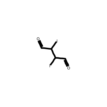 O=CC(I)C(I)C=O